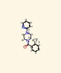 O=C(c1ccccc1C(F)(F)F)N1CCN(c2ccccn2)CC1